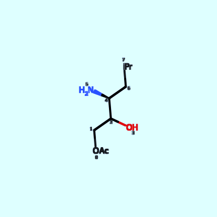 CC(=O)OCC(O)[C@@H](N)CC(C)C